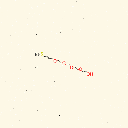 CCSCC=CCOCCOCCOCCOCCO